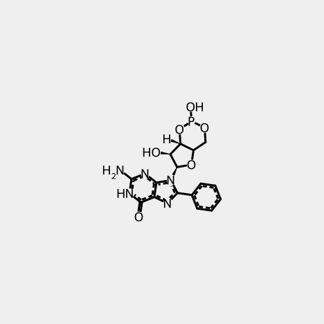 Nc1nc2c(nc(-c3ccccc3)n2[C@@H]2OC3COP(O)O[C@H]3[C@@H]2O)c(=O)[nH]1